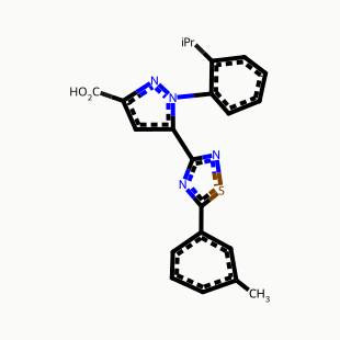 Cc1cccc(-c2nc(-c3cc(C(=O)O)nn3-c3ccccc3C(C)C)ns2)c1